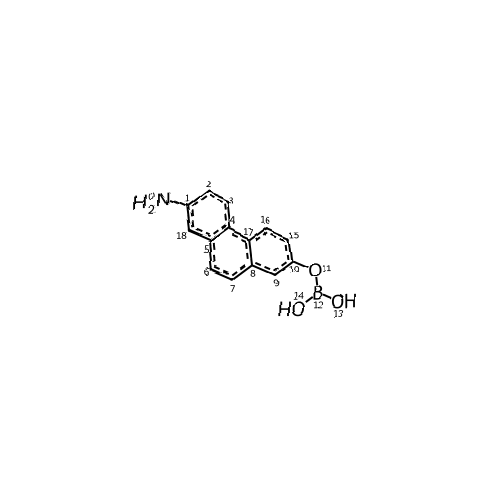 Nc1ccc2c(ccc3cc(OB(O)O)ccc32)c1